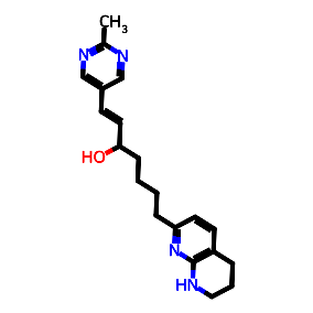 Cc1ncc(C=CC(O)CCCCc2ccc3c(n2)NCCC3)cn1